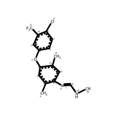 Cc1cc(Oc2ccc(Cl)c(C(F)(F)F)c2)c(C)cc1/N=C/NC#N